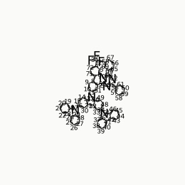 FC(F)(F)c1ccc(-c2ccc(-n3c4ccc(-n5c6ccccc6c6ccccc65)cc4c4cc(-n5c6ccccc6c6ccccc65)ccc43)cc2-c2nc(-c3ccccc3)nc(-c3ccccc3)n2)cc1